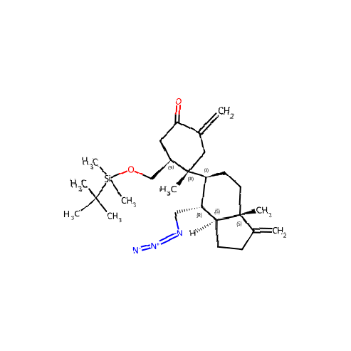 C=C1C[C@](C)([C@H]2CC[C@]3(C)C(=C)CC[C@H]3[C@@H]2CN=[N+]=[N-])[C@@H](CO[Si](C)(C)C(C)(C)C)CC1=O